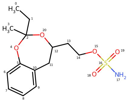 CCC1(C)Oc2ccccc2CC(CCOS(N)(=O)=O)O1